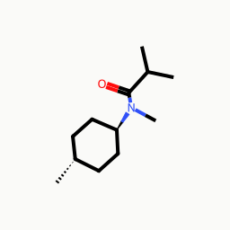 CC(C)C(=O)N(C)[C@H]1CC[C@H](C)CC1